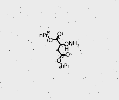 CCCOC(=O)CC(O)C(=O)OCCC.N